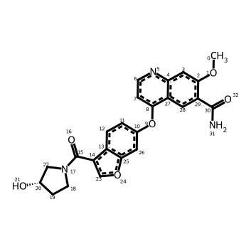 COc1cc2nccc(Oc3ccc4c(C(=O)N5CC[C@H](O)C5)coc4c3)c2cc1C(N)=O